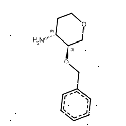 N[C@@H]1CCOC[C@H]1OCc1ccccc1